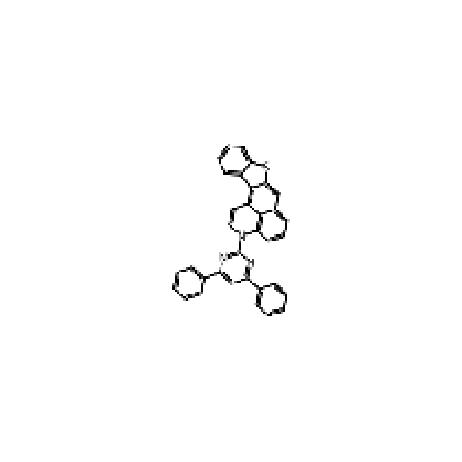 C1=CN(c2nc(-c3ccccc3)cc(-c3ccccc3)n2)c2cccc3cc4sc5ccccc5c4c1c23